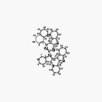 C1=C(c2nc(-n3c4ccccc4c4c5ccccc5c5sc6ccccc6c5c43)nc3sc4ccccc4c23)c2ccccc2CC1